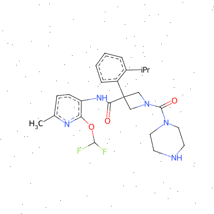 Cc1ccc(NC(=O)C2(c3ccccc3C(C)C)CN(C(=O)N3CCNCC3)C2)c(OC(F)F)n1